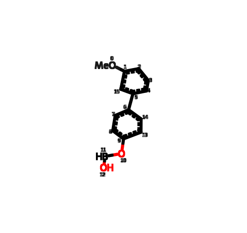 COc1cccc(-c2ccc(OBO)cc2)c1